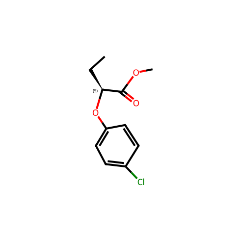 CC[C@H](Oc1ccc(Cl)cc1)C(=O)OC